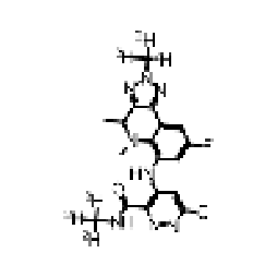 [2H]C([2H])([2H])NC(=O)c1nnc(Cl)cc1Nc1cc(F)cc2c1N(C)C(C)c1nn(C([2H])([2H])[2H])nc1-2